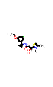 Cc1csc([C@](C)(O)CC(=O)NC2(c3cc(Cl)cc(OCC(F)(F)F)c3)CC2)n1